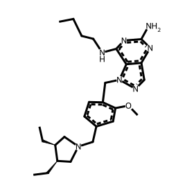 CCCCNc1nc(N)nc2cnn(Cc3ccc(CN4C[C@@H](CC)[C@@H](CC)C4)cc3OC)c12